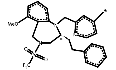 COc1cccc2c1CN(S(=O)(=O)C(F)(F)F)C[C@@H](CCc1ccccc1)N2Cc1cc(Br)ccn1